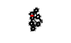 N#CC1=CCC(n2c3ccccc3c3ccccc32)C(c2cccc3c2sc2c3ccc3c4ccccc4n(-c4ccccc4)c32)=C1